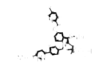 COc1ccc(-c2ccc(Cn3c(CC(C)(C)C(=O)O)c(SC(C)(C)C)c4cc(OCc5ccc(C)cn5)ccc43)cc2)nn1